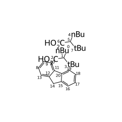 CCCCC(C(=O)O)C(C)(C)C.CCCCC(C(=O)O)C(C)(C)C.c1ccc2c(c1)Cc1ccccc1-2